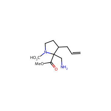 C=CCC1CCN(C(=O)O)C1(CN)C(=O)OC